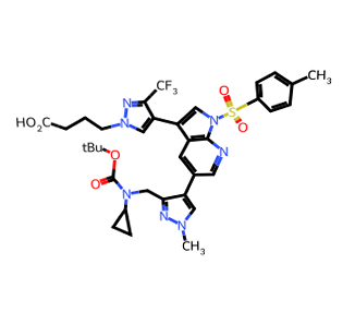 Cc1ccc(S(=O)(=O)n2cc(-c3cn(CCCC(=O)O)nc3C(F)(F)F)c3cc(-c4cn(C)nc4CN(C(=O)OC(C)(C)C)C4CC4)cnc32)cc1